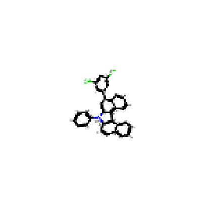 Clc1cc(Cl)cc(-c2cc3c(c4ccccc24)c2c4ccccc4ccc2n3-c2ccccc2)c1